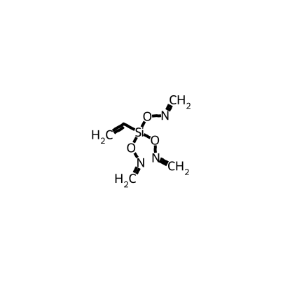 C=C[Si](ON=C)(ON=C)ON=C